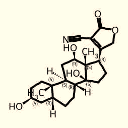 C[C@]12CC[C@H](O)C[C@H]1CC[C@@H]1[C@@H]2C[C@@H](O)[C@]2(C)[C@@H](C3=C(C#N)C(=O)OC3)CC[C@]12O